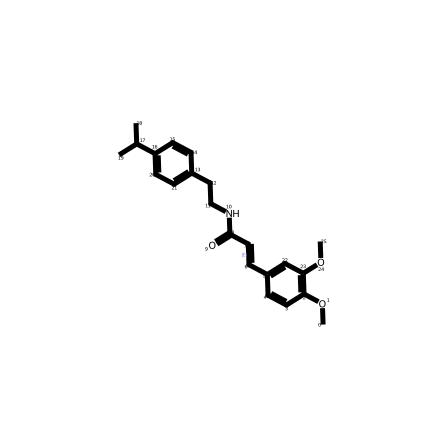 COc1ccc(/C=C/C(=O)NCCc2ccc(C(C)C)cc2)cc1OC